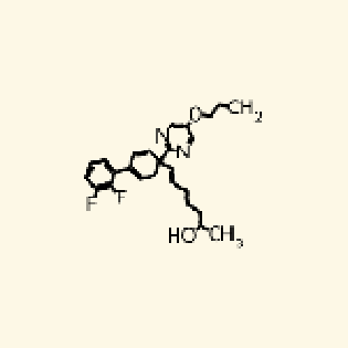 C=CCOc1cnc(C2(C=CCCCC(C)O)C=CC(c3cccc(F)c3F)=CC2)nc1